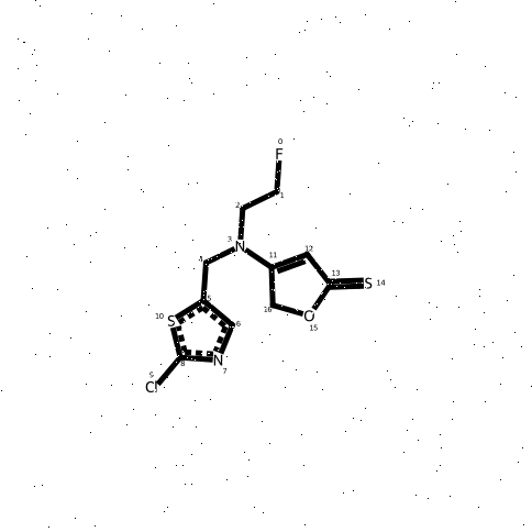 FCCN(Cc1cnc(Cl)s1)C1=CC(=S)OC1